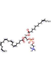 CC/C=C\C/C=C\C/C=C\C/C=C\C/C=C\CCCC(=O)O[C@H](COC(=O)CCCCCCC/C=C\CCCCC)COP(=O)([O-])OCC[N+](C)(C)C